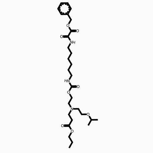 CCCOC(=O)CCN(CCOC(=O)NCCCCCCNC(=O)C(=O)OCc1ccccc1)CCOC(C)C